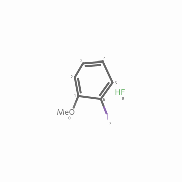 COc1ccccc1I.F